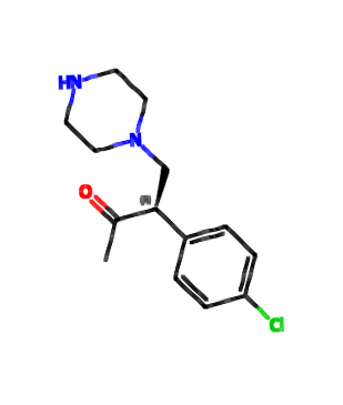 CC(=O)[C@@H](CN1CCNCC1)c1ccc(Cl)cc1